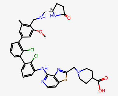 COc1cc(-c2cccc(-c3cccc(Nc4nccc5sc(CN6CCC(C(=O)O)CC6)nc45)c3Cl)c2Cl)cc(C)c1CNC[C@@H]1CCC(=O)N1